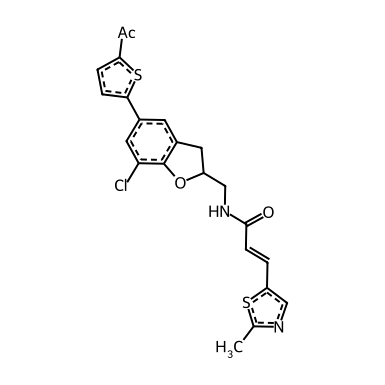 CC(=O)c1ccc(-c2cc(Cl)c3c(c2)CC(CNC(=O)C=Cc2cnc(C)s2)O3)s1